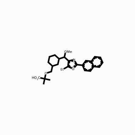 CCc1oc(-c2ccc3ccccc3c2)nc1C(OC)C1CCCC(COC(C)(C)C(=O)O)C1